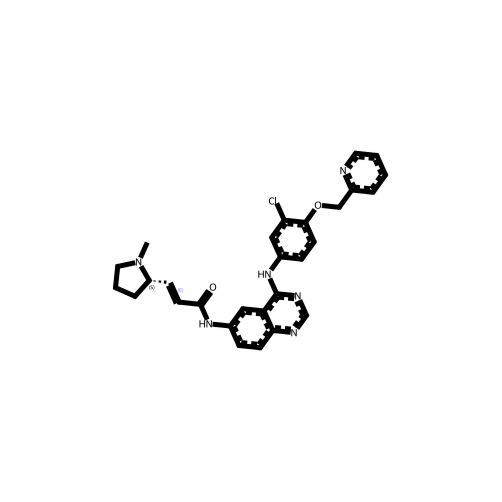 CN1CCC[C@H]1/C=C/C(=O)Nc1ccc2ncnc(Nc3ccc(OCc4ccccn4)c(Cl)c3)c2c1